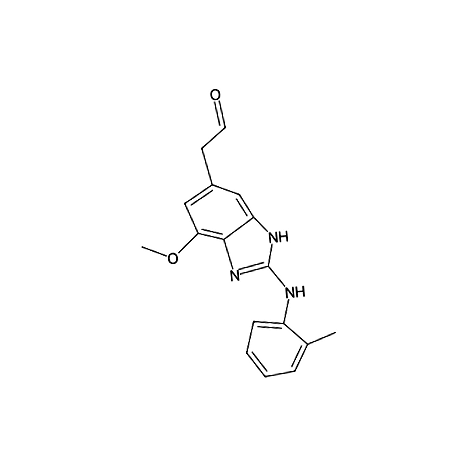 COc1cc(CC=O)cc2[nH]c(Nc3ccccc3C)nc12